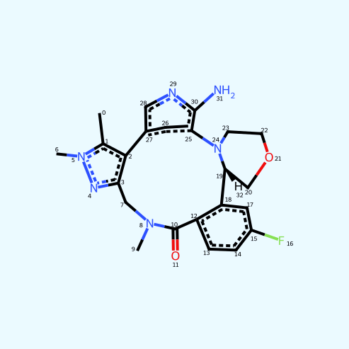 Cc1c2c(nn1C)CN(C)C(=O)c1ccc(F)cc1[C@H]1COCCN1c1cc-2cnc1N